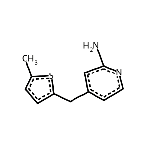 Cc1ccc(Cc2ccnc(N)c2)s1